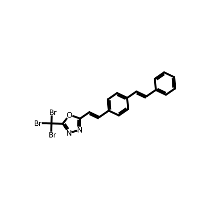 BrC(Br)(Br)c1nnc(C=Cc2ccc(C=Cc3ccccc3)cc2)o1